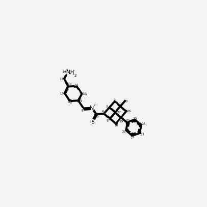 CC12CC3C(C(=S)/N=C/C4CCC(CN)CC4)C4CC(c5ccccc5)(C1)C342